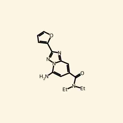 CCN(CC)C(=O)c1cc(N)n2nc(-c3ccco3)nc2c1